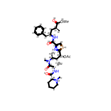 CC[C@H](C)[C@H](NC(=O)[C@H]1CCCCN1C)C(=O)N(C)[C@H](C[C@@H](OC(C)=O)c1nc(C(=O)N[C@@H](Cc2ccccc2)C[C@H](C)C(=O)OC)cs1)C(C)C